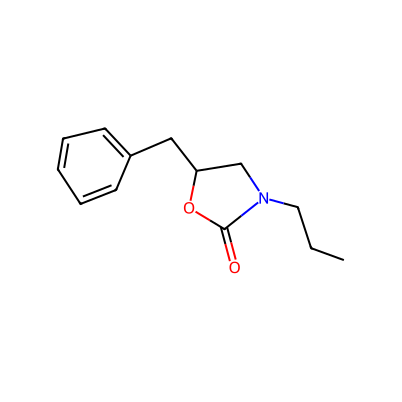 CCCN1CC(Cc2ccccc2)OC1=O